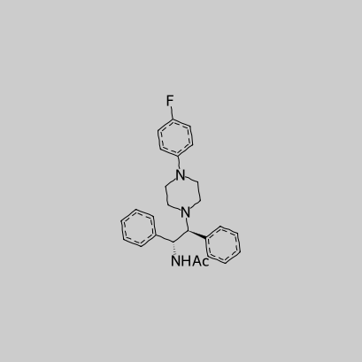 CC(=O)N[C@H](c1ccccc1)[C@H](c1ccccc1)N1CCN(c2ccc(F)cc2)CC1